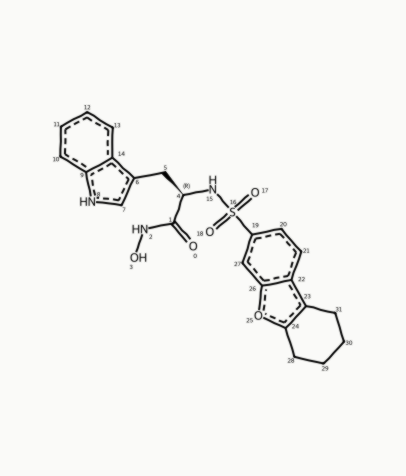 O=C(NO)[C@@H](Cc1c[nH]c2ccccc12)NS(=O)(=O)c1ccc2c3c(oc2c1)CCCC3